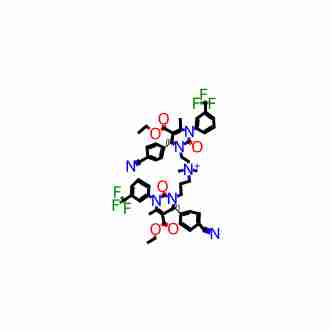 CCOC(=O)C1=C(C)N(c2cccc(C(F)(F)F)c2)C(=O)N(CCC[N+](C)(C)CCN2C(=O)N(c3cccc(C(F)(F)F)c3)C(C)=C(C(=O)OCC)[C@H]2c2ccc(C#N)cc2)[C@@H]1c1ccc(C#N)cc1